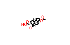 CC(=O)O[C@H]1CC[C@H]2[C@@H]3CC[C@@H](CC(=O)O)[C@H](C=O)[C@H]3CC[C@]12C